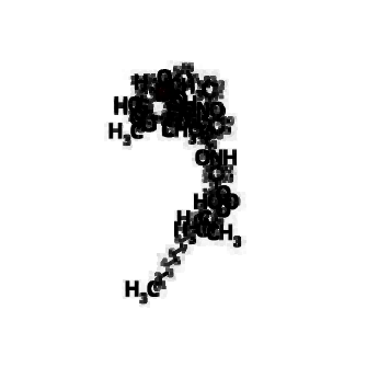 CCCCCCCCCCCCCCCCCC(OP(=O)(O)OCC[N+](C)(C)C)c1ccc(NC(=O)CCC(=O)O[C@@H](C(=O)O[C@H]2C[C@@]3(O)[C@@H](OC(=O)c4ccccc4)[C@@H]4[C@]5(OC(C)=O)CC[C@@H]5C[C@H](O)[C@@]4(C)C(=O)[C@H](OC(C)=O)C(=C2C)C3(C)C)[C@@H](NC(=O)c2ccccc2)c2ccccc2)cc1